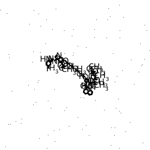 C[C@@H](C(=O)N[C@H](C(=O)N1C[C@@H](OCCOCCOCCOCCOc2cc3nccc(Nc4n[nH]c5ccc(F)cc45)c3cc2S(=O)(=O)C(C)(C)C)C[C@H]1C(=O)NC1CCCc2ccccc21)C(C)(C)C)N(C)C(=O)OC(C)(C)C